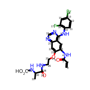 C=CC(=O)Nc1cc2c(Nc3ccc(Br)cc3F)ncnc2cc1OCCNC(=O)C(C)NC(=O)O